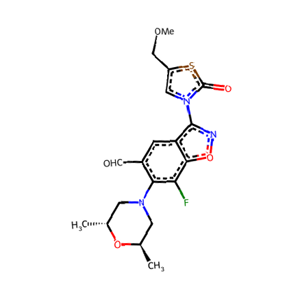 COCc1cn(-c2noc3c(F)c(N4C[C@@H](C)O[C@H](C)C4)c(C=O)cc23)c(=O)s1